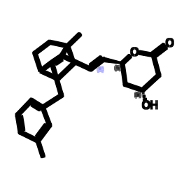 Cc1cccc(CC2=C(/C=C/[C@@H]3C[C@@H](O)CC(=O)O3)C3(C)CCC2CC3)c1